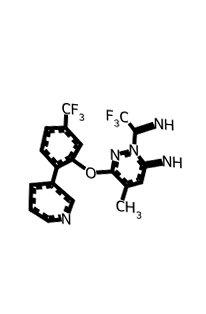 Cc1cc(=N)n(C(=N)C(F)(F)F)nc1Oc1cc(C(F)(F)F)ccc1-c1cccnc1